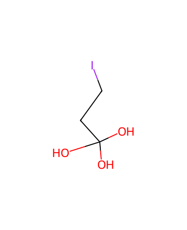 OC(O)(O)CCI